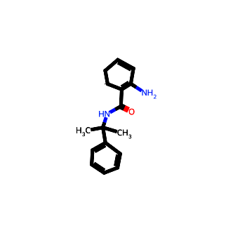 CC(C)(NC(=O)C1=C(N)C=CC[CH]1)c1ccccc1